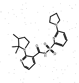 CC1CCN(c2ncccc2C(=O)NS(=O)(=O)c2cccc(N3CCCC3)n2)C1(C)C